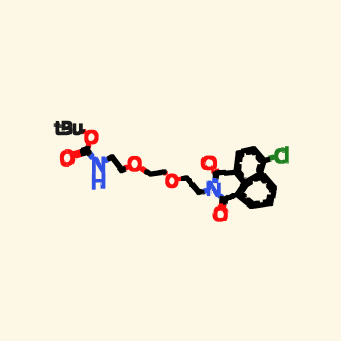 CC(C)(C)OC(=O)NCCOCCOCCN1C(=O)c2cccc3c(Cl)ccc(c23)C1=O